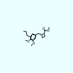 CCCc1cc(CN2CCC2C(=O)OC)cc(OC)c1OC